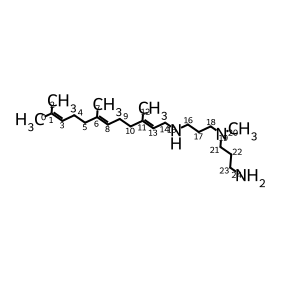 CC(C)=CCC/C(C)=C/CC/C(C)=C/CNCCCN(C)CCCN